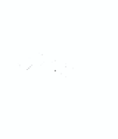 CC(C)C[CH]NC(=O)[C@@H](NC(=O)c1ccc2ccccc2c1)[C@@H](C)O